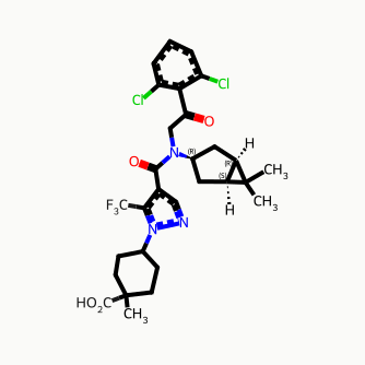 CC1(C(=O)O)CCC(n2ncc(C(=O)N(CC(=O)c3c(Cl)cccc3Cl)[C@H]3C[C@@H]4[C@H](C3)C4(C)C)c2C(F)(F)F)CC1